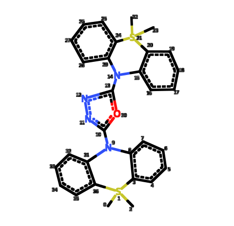 CS1(C)c2ccccc2N(c2nnc(N3c4ccccc4S(C)(C)c4ccccc43)o2)c2ccccc21